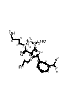 CC(C)CCn1c(-c2cccc(C(F)F)c2)nc(N(C)C=O)c1C(=O)N(C)CCCO